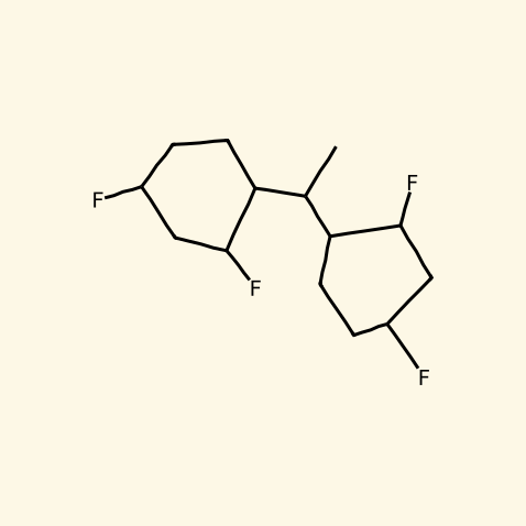 CC(C1CCC(F)CC1F)C1CCC(F)CC1F